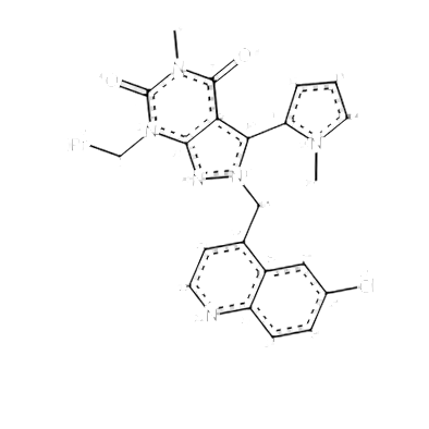 CC(C)Cn1c(=O)n(C)c(=O)c2c(-c3cccn3C)n(Cc3ccnc4ccc(Cl)cc34)nc21